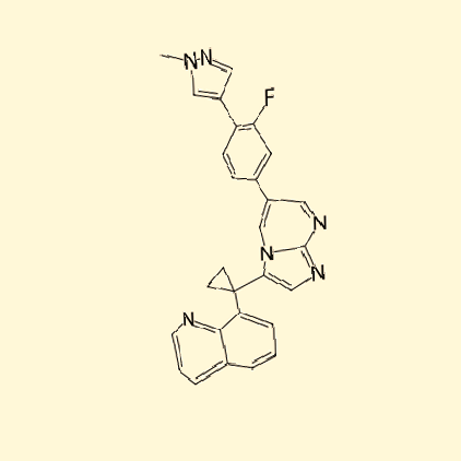 Cn1cc(-c2ccc(-c3cnc4ncc(C5(c6cccc7cccnc67)CC5)n4c3)cc2F)cn1